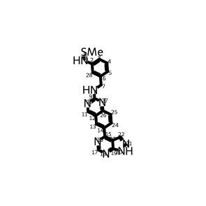 CSNc1cccc(CNc2ncc3cc(-c4ncnc5[nH]ncc45)ccc3n2)c1